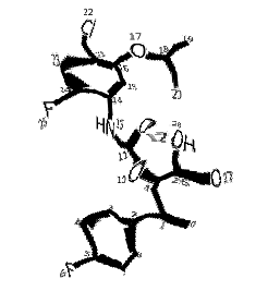 C=C(c1ccc(F)cc1)C(OC(=O)Nc1cc(OC(C)C)c(Cl)cc1F)C(=O)O